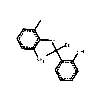 CCC(C)(Pc1c(C)cccc1C(F)(F)F)c1ccccc1O